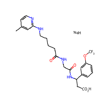 Cc1ccnc(NCCCCC(=O)NCC(=O)NC(CC(=O)O)c2cccc(OC(F)(F)F)c2)c1.[NaH]